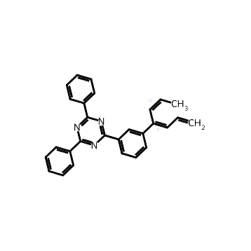 C=C/C=C(\C=C/C)c1cccc(-c2nc(-c3ccccc3)nc(-c3ccccc3)n2)c1